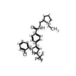 CCN1CCCC1CNC(=O)c1ccc(-c2cc(C(F)(F)F)nn2-c2ccccc2Cl)cc1